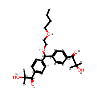 CCCCOCCOC(c1ccc(C(=O)C(C)(C)O)cc1)c1ccc(C(=O)C(C)(C)O)cc1